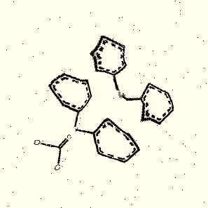 O=C([O-])[O-].c1ccc([I+]c2ccccc2)cc1.c1ccc([I+]c2ccccc2)cc1